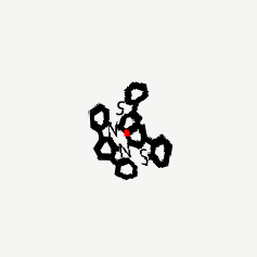 c1ccc2c(c1)sc1c(-n3c4c(c5ccc6c7ccccc7n(-c7cccc8c7sc7ccccc78)c6c53)CCCC4)cccc12